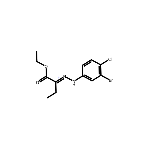 CCOC(=O)/C(CC)=N/Nc1ccc(Cl)c(Br)c1